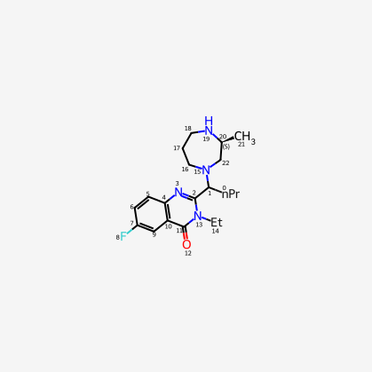 CCCC(c1nc2ccc(F)cc2c(=O)n1CC)N1CCCN[C@@H](C)C1